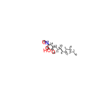 CCCC(C)CC(C)/C=C(\C)CCC(CC(=O)N=O)C(=O)O